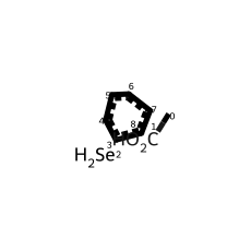 CC(=O)O.[SeH2].c1ccccc1